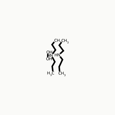 CCCNCCC.CCCNCCC.OO